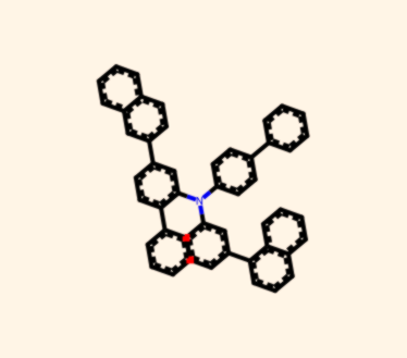 c1ccc(-c2ccc(N(c3cccc(-c4cccc5ccccc45)c3)c3cc(-c4ccc5ccccc5c4)ccc3-c3ccccc3)cc2)cc1